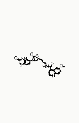 COc1ccc2nccc(C(=O)NCCCC3CN(c4ccc5c(c4)NC(=O)CS5)C(=O)O3)c2c1